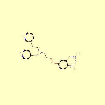 CN1Cc2cc(OCCCN(CCc3cccnc3)Cc3ccncc3)ccc2N(C)C1